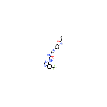 CCCC(=O)N(C)[C@H]1CC[C@H](N2CC(NC(=O)CNc3ncnc4ccc(C(F)(F)F)cc34)C2)CC1